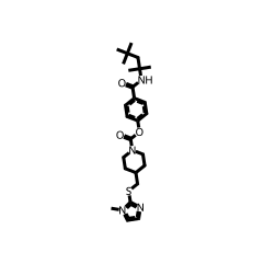 Cn1ccnc1SCC1CCN(C(=O)Oc2ccc(C(=O)NC(C)(C)CC(C)(C)C)cc2)CC1